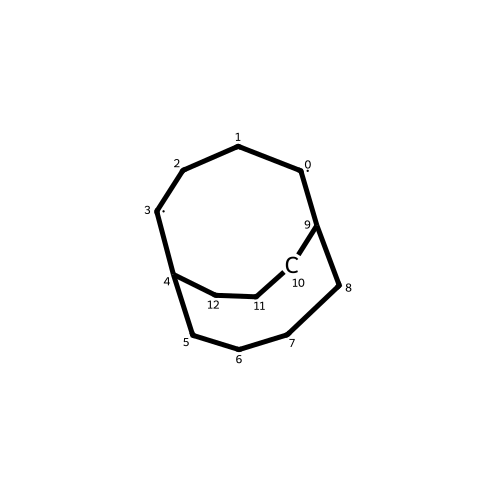 [CH]1CC[CH]C2CCCCC1CCC2